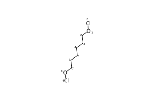 ClOCCCCCCOCl